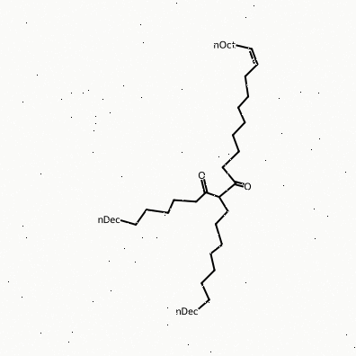 CCCCCCCC/C=C\CCCCCCCC(=O)C(CCCCCCCCCCCCCCCCC)C(=O)CCCCCCCCCCCCCCC